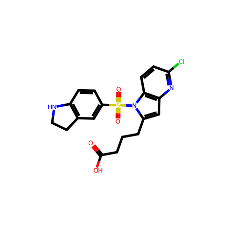 O=C(O)CCCc1cc2nc(Cl)ccc2n1S(=O)(=O)c1ccc2c(c1)CCN2